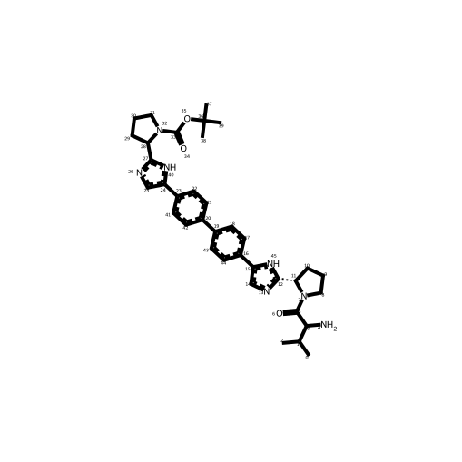 CC(C)C(N)C(=O)N1CCC[C@H]1c1ncc(-c2ccc(-c3ccc(-c4cnc(C5CCCN5C(=O)OC(C)(C)C)[nH]4)cc3)cc2)[nH]1